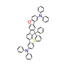 c1ccc(N(c2ccccc2)c2ccc3oc4cc5c(cc4c3c2)C(c2ccccc2)(c2ccccc2)c2c-5ccc3c2sc2ccc(N(c4ccccc4)c4ccccc4)cc23)cc1